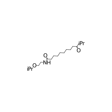 CC(C)OCCNC(=O)CCCCCCCCC(=O)C(C)C